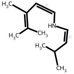 CC(C)=C(C)/C=C\N/C=C\C(C)C